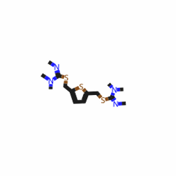 C/N=C(/SCc1ccc(CS/C(=N/C)N(C)C)s1)N(C)C